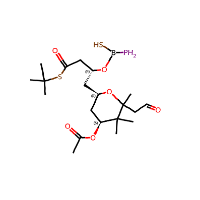 CC(=O)O[C@H]1C[C@@H](C[C@H](CC(=O)SC(C)(C)C)OB(P)S)OC(C)(CC=O)C1(C)C